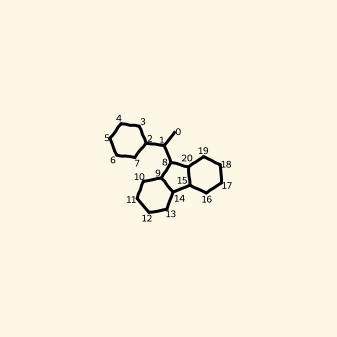 CC(C1CCCCC1)C1C2CCCCC2C2CCCCC21